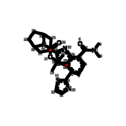 CN(C)C(=O)c1ccc(-c2nccs2)c2oc(N3CC4CCC(C3)N4C(=O)OC(C)(C)C)nc12